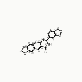 S=C1NC(c2ccc3c(c2)OOC3)N=C2Oc3cc4c(cc3C=C12)OCO4